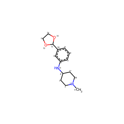 CN1CCC(Nc2cccc(C3OCCO3)c2)CC1